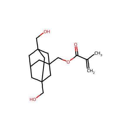 C=C(C)C(=O)OCC12CC3CC(CO)(CC(CO)(C3)C1)C2